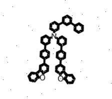 c1ccc(-c2cccc(-c3cccc(N(c4cccc(-c5ccc(-c6ccc7oc8ccccc8c7c6)cc5)c4)c4cccc(-c5ccc(-c6ccc7oc8ccccc8c7c6)cc5)c4)c3)c2)cc1